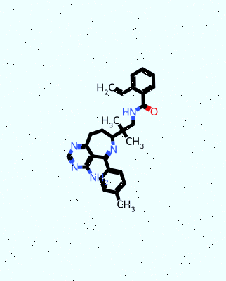 C=Cc1ccccc1C(=O)NCC(C)(C)C1CCc2ncnc(N)c2C(c2ccc(C)cc2)=N1